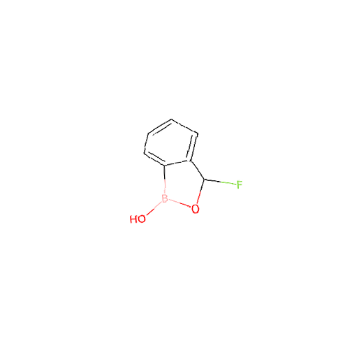 OB1OC(F)c2ccccc21